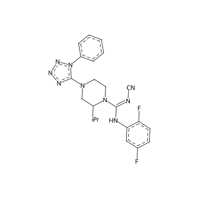 CC(C)C1CN(c2nnnn2-c2ccccc2)CCN1/C(=N\C#N)Nc1cc(F)ccc1F